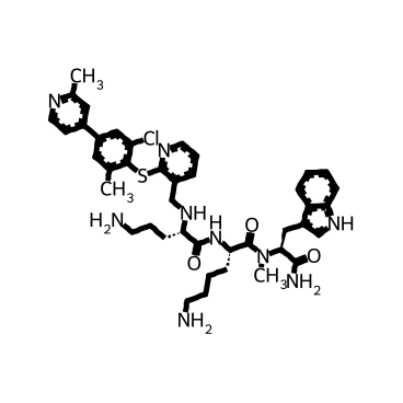 Cc1cc(-c2cc(C)c(Sc3ncccc3CN[C@@H](CCCN)C(=O)N[C@@H](CCCCN)C(=O)N(C)[C@@H](Cc3c[nH]c4ccccc34)C(N)=O)c(Cl)c2)ccn1